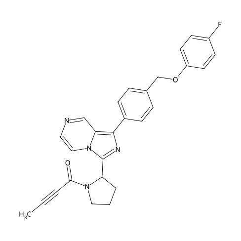 CC#CC(=O)N1CCCC1c1nc(-c2ccc(COc3ccc(F)cc3)cc2)c2cnccn12